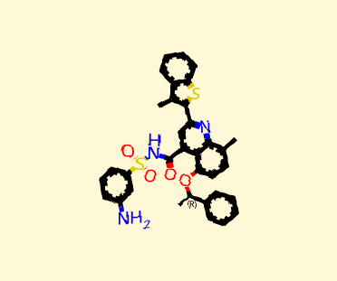 Cc1c(-c2cc(C(=O)NS(=O)(=O)c3cccc(N)c3)c3c(O[C@H](C)c4ccccc4)ccc(C)c3n2)sc2ccccc12